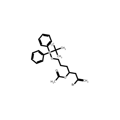 C=C(Br)CC(CCCO[Si](c1ccccc1)(c1ccccc1)C(C)(C)C)OC(C)=O